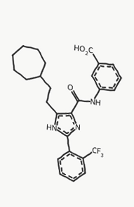 O=C(O)c1cccc(NC(=O)c2nc(-c3ccccc3C(F)(F)F)[nH]c2CCC2CCCCCC2)c1